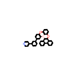 c1cc(-c2ccncc2)cc(-c2ccc3c(c2)B2c4c(cccc4Oc4c2c2ccccc2c2ccccc42)O3)c1